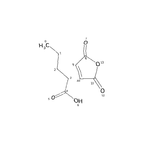 CCCCC(=O)O.O=C1C=CC(=O)O1